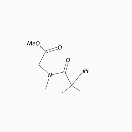 COC(=O)CN(C)C(=O)C(C)(C)C(C)C